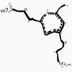 Cc1cc(CCS(=O)(=O)O)cc(CCS(=O)(=O)O)n1